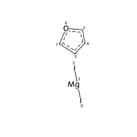 [I][Mg][I].[c]1ccoc1